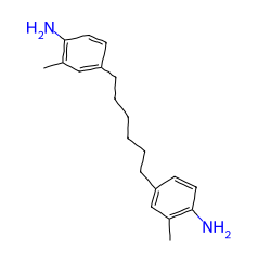 Cc1cc(CCCCCCc2ccc(N)c(C)c2)ccc1N